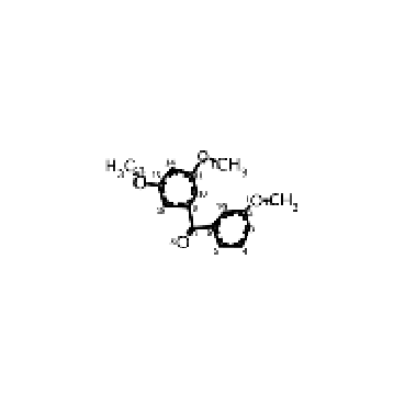 COc1cccc(C(=O)c2cc(OC)cc(OC)c2)c1